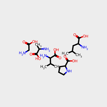 CC(C)C(N)C(=O)O.CC(C)CC(N)C(=O)O.CC(N)C(=O)O.NCC(=O)O.O=C(O)C1CCCN1